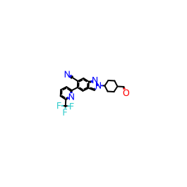 N#Cc1cc2nn(C3CCC(C=O)CC3)cc2cc1-c1cccc(C(F)(F)F)n1